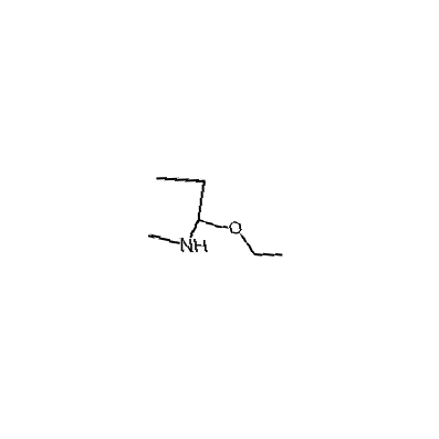 CCOC(CC)NC